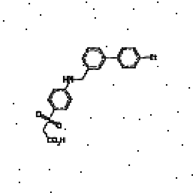 CCc1ccc(-c2cccc(CNc3ccc(S(=O)(=O)CC(=O)O)cc3)c2)cc1